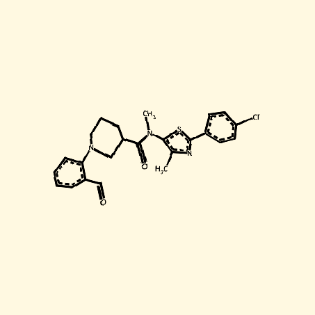 Cc1nc(-c2ccc(Cl)cc2)sc1N(C)C(=O)C1CCCN(c2ccccc2C=O)C1